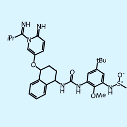 COc1c(NC(=O)NC2CCC(Oc3ccc(=N)n(C(=N)C(C)C)c3)c3ccccc32)cc(C(C)(C)C)cc1N[S+](C)[O-]